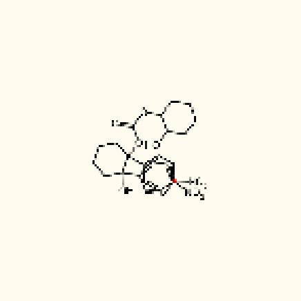 O=C(OC1CCCCC1O)OC1(c2ccc([N+](=O)[O-])cc2)CCCCC1(O)c1ccc([N+](=O)[O-])cc1